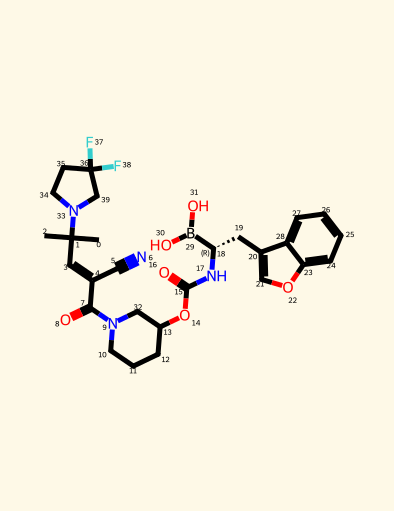 CC(C)(C=C(C#N)C(=O)N1CCCC(OC(=O)N[C@@H](Cc2coc3ccccc23)B(O)O)C1)N1CCC(F)(F)C1